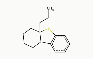 CCCC12CCCCC1c1ccccc1S2